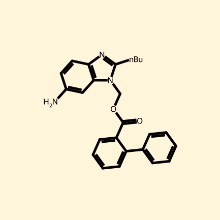 CCCCc1nc2ccc(N)cc2n1COC(=O)c1ccccc1-c1ccccc1